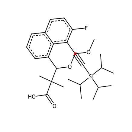 COCOC(c1cccc2ccc(F)c(C#C[Si](C(C)C)(C(C)C)C(C)C)c12)C(C)(C)C(=O)O